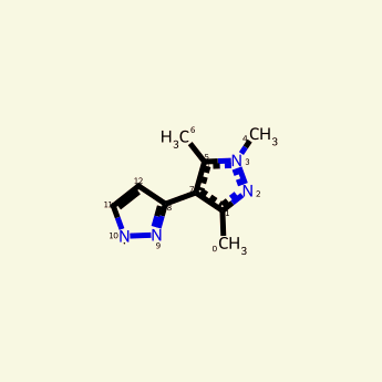 Cc1nn(C)c(C)c1C1=N[N]C=C1